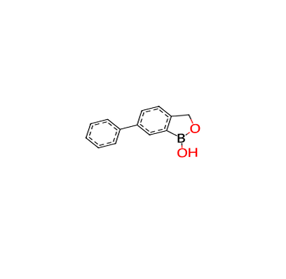 OB1OCc2ccc(-c3ccccc3)cc21